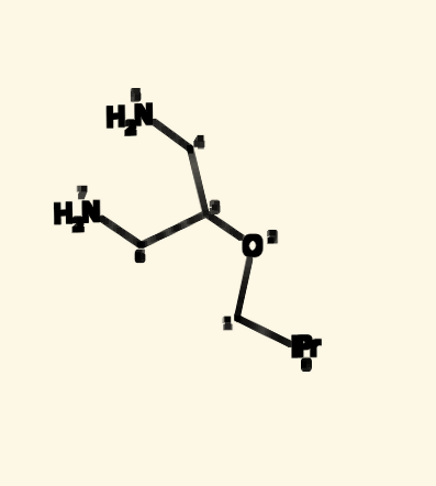 CC(C)COC(CN)CN